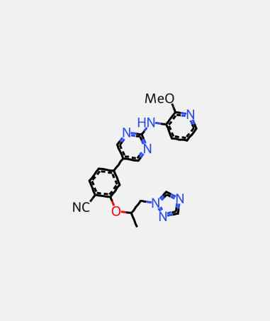 COc1ncccc1Nc1ncc(-c2ccc(C#N)c(OC(C)Cn3cncn3)c2)cn1